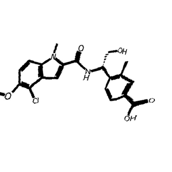 COc1ccc2c(cc(C(=O)N[C@H](CO)c3ccc(C(=O)O)cc3C)n2C)c1Cl